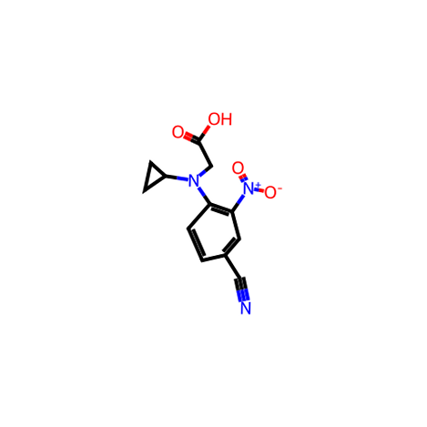 N#Cc1ccc(N(CC(=O)O)C2CC2)c([N+](=O)[O-])c1